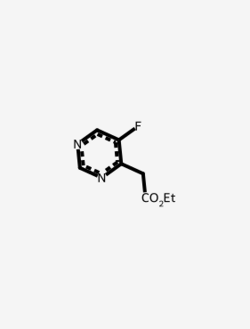 CCOC(=O)Cc1ncncc1F